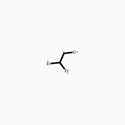 [CH2]CC(CC)C[O]